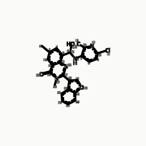 Cc1cc([C@@H](C)Nc2ccc(Cl)nc2C(=O)O)c2nc(-c3coc4ccccc34)n(C)c(=O)c2c1